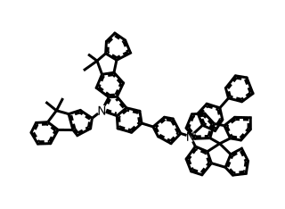 CC1(C)c2ccccc2-c2ccc(-n3c4ccc(-c5ccc(N(c6ccc(-c7ccccc7)cc6)c6cccc7c6C6(c8ccccc8-c8ccccc86)c6ccccc6-7)cc5)cc4c4cc5c(cc43)C(C)(C)c3ccccc3-5)cc21